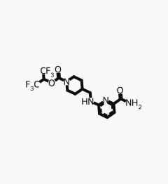 NC(=O)c1cccc(NCC2CCN(C(=O)OC(C(F)(F)F)C(F)(F)F)CC2)n1